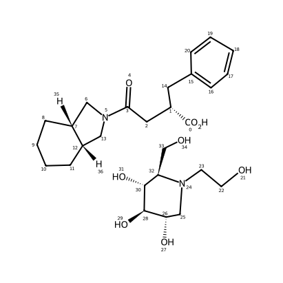 O=C(O)[C@H](CC(=O)N1C[C@H]2CCCC[C@H]2C1)Cc1ccccc1.OCCN1C[C@H](O)[C@@H](O)[C@H](O)[C@H]1CO